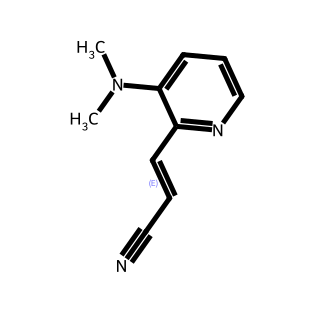 CN(C)c1cccnc1/C=C/C#N